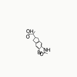 CC(=O)Nc1cc2c(cc1Br)CC(C(C)C(=O)O)C2